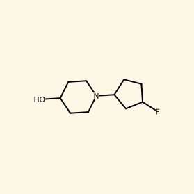 OC1CCN(C2CCC(F)C2)CC1